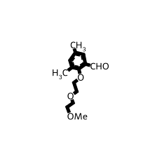 COCCOCCOc1c(C)cc(C)cc1C=O